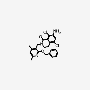 Cc1cc(C)c(CN2CCc3c(Cl)cc(N)c(Cl)c3C2=O)c(OCc2ccccc2)n1